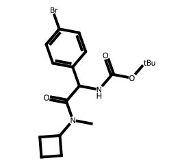 CN(C(=O)C(NC(=O)OC(C)(C)C)c1ccc(Br)cc1)C1CCC1